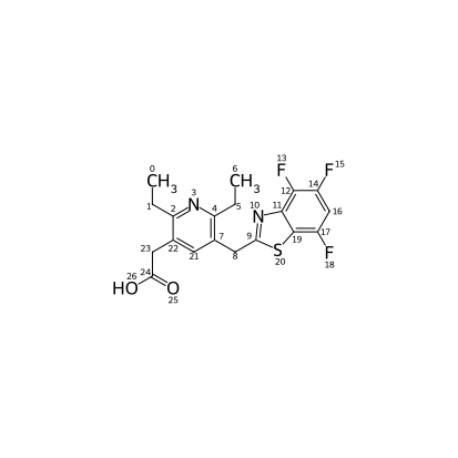 CCc1nc(CC)c(Cc2nc3c(F)c(F)cc(F)c3s2)cc1CC(=O)O